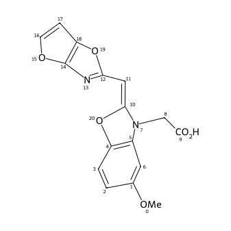 COc1ccc2c(c1)N(CC(=O)O)/C(=C/c1nc3occc3o1)O2